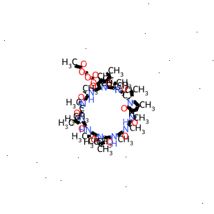 C/C=C/C[C@@H](C)[C@@H](OC(=O)OCOC(=O)CC)[C@H]1C(=O)N[C@@H](CC)C(=O)N(C)CC(=O)N(C)[C@@H](CC(C)C)C(=O)N[C@@H](C(C)C)C(=O)N(C)[C@@H](CC(C)C)C(=O)N[C@@H](C)C(=O)N[C@H](C)C(=O)N(C)[C@H]2CC(C)CN(C2=O)[C@@H](CC(C)C)CC(=O)N(C)[C@@H](C(C)C)C(=O)N1C